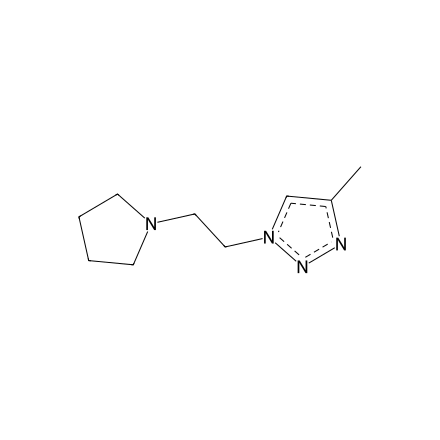 Cc1cn(CCN2CCCC2)nn1